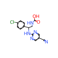 N#Cc1cnc(NC(CNC(=O)O)c2ccc(Cl)cc2)nc1